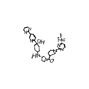 O=C(C1CCN(c2nccc(C(F)(F)F)n2)C1)N1CC[C@H](NC2CCC(O)(c3ccc(-c4ncccn4)cn3)CC2)C1